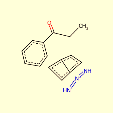 CCC(=O)c1ccccc1.N=[N+]=N.c1cc2ccc1-2